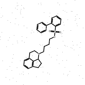 O=S(=O)(OCCCCN1CCc2cccc3c2C1CC3)c1ccccc1-c1ccccc1